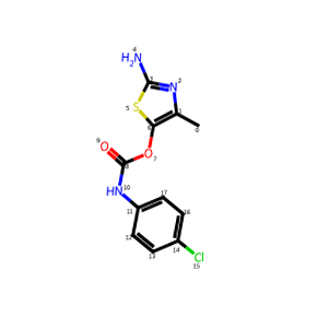 Cc1nc(N)sc1OC(=O)Nc1ccc(Cl)cc1